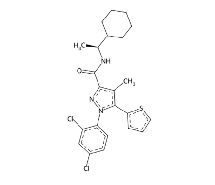 Cc1c(C(=O)N[C@@H](C)C2CCCCC2)nn(-c2ccc(Cl)cc2Cl)c1-c1cccs1